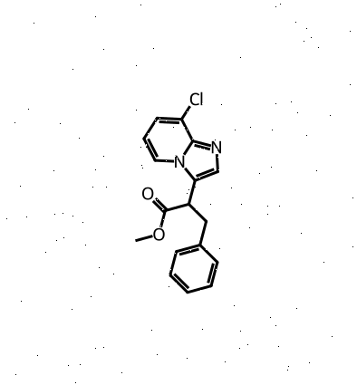 COC(=O)C(Cc1ccccc1)c1cnc2c(Cl)cccn12